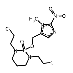 Cn1c(COP2(=O)N(CCCl)CCCN2CCCl)cnc1[N+](=O)[O-]